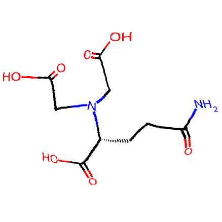 NC(=O)CC[C@H](C(=O)O)N(CC(=O)O)CC(=O)O